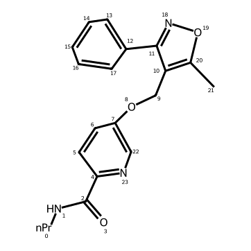 CCCNC(=O)c1ccc(OCc2c(-c3ccccc3)noc2C)cn1